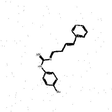 CCC(C)c1ccc(NC(=N)N=CCC=Cc2ccccc2)cc1